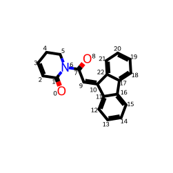 O=C1C=CCCN1C(=O)C=C1c2ccccc2-c2ccccc21